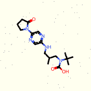 CC(CNc1cnc(N2CCCC2=O)cn1)CN(C(=O)O)C(C)(C)C